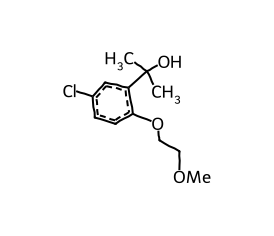 COCCOc1ccc(Cl)cc1C(C)(C)O